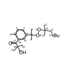 Cc1ccc(C(C)(C)OOC(C)(C)CC(C)(C)C)cc1C(=O)C(C)(C)O